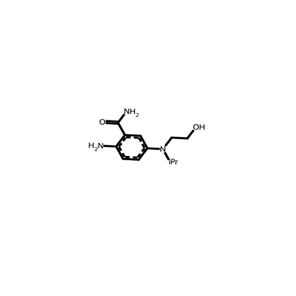 CC(C)N(CCO)c1ccc(N)c(C(N)=O)c1